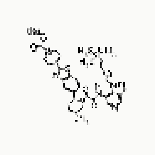 C[C@H]1CCC(c2ccc3sc(C4=CCN(C(=O)OC(C)(C)C)CC4)nc3c2)N(C(=O)C(=O)Nc2cncc3cnn(COCC[Si](C)(C)C)c23)C1